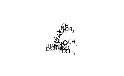 C=N/C(C)=C\SCNc1cc(Nc2ccc(C)cc2N(C)S(C)(=O)=O)c(C(=O)NOCC)cn1